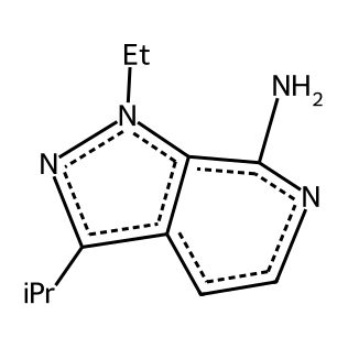 CCn1nc(C(C)C)c2ccnc(N)c21